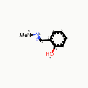 CN/N=C/c1ccccc1O